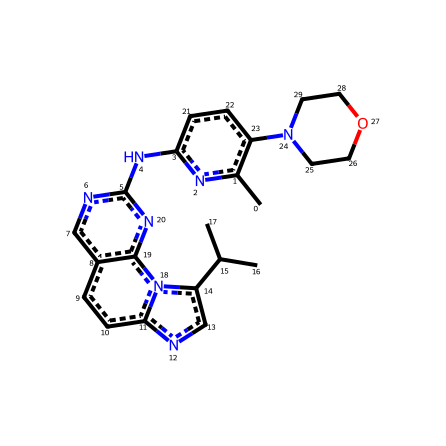 Cc1nc(Nc2ncc3ccc4ncc(C(C)C)n4c3n2)ccc1N1CCOCC1